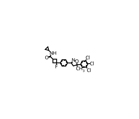 CC1(c2cc(Cl)c(Cl)c(Cl)c2)CC(c2ccc(C3(F)CC(C(=O)NC4CC4)C3)cc2)=NO1